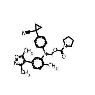 Cc1ccc(-c2c(C)noc2C)cc1N(COC(=O)N1CCCC1)c1ccc(C2(C#N)CC2)cc1